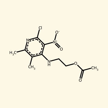 CC(=O)OCCNc1c(C)c(C)nc(Cl)c1[N+](=O)[O-]